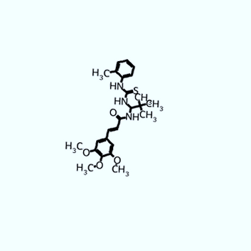 COc1cc(C=CC(=O)NC(NC(=S)Nc2ccccc2C)C(C)(C)C)cc(OC)c1OC